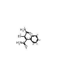 CCC(C(N)=O)=C(C(N)=O)c1ccccc1